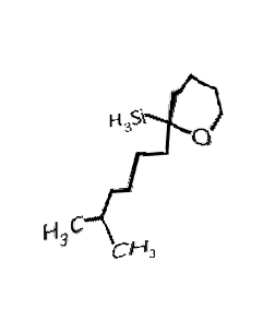 CC(C)CCCCC1([SiH3])CCCCO1